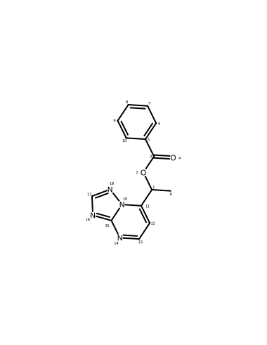 CC(OC(=O)c1ccccc1)c1ccnc2ncnn12